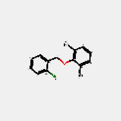 CC(C)c1cccc(C(C)C)c1OCc1ccccc1Br